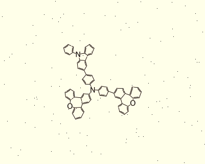 c1ccc(-n2c3ccccc3c3cc(-c4ccc(N(c5ccc(-c6ccc7c(c6)-c6ccccc6Oc6ccccc6-7)cc5)c5ccc6c(c5)-c5ccccc5Oc5ccccc5-6)cc4)ccc32)cc1